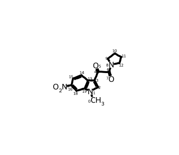 Cn1cc(C(=O)C(=O)N2CCCC2)c2ccc([N+](=O)[O-])cc21